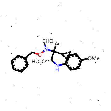 COc1ccc(N[C@H](C(=O)O)C(C(C)=O)(C2CC2)N(C=O)OCc2ccccc2)cc1